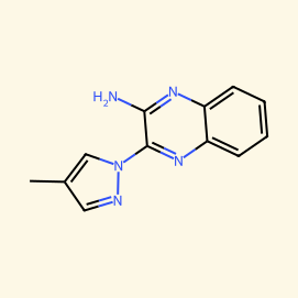 Cc1cnn(-c2nc3ccccc3nc2N)c1